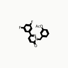 CC(=O)Oc1cccc(Cn2nc(-c3cc(F)cc(F)c3)ccc2=O)c1